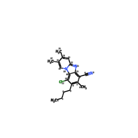 CCCCc1c(C)c(C#N)c2nc3cc(C)c(C)cn3c2c1Cl